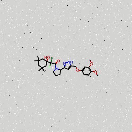 COc1ccc(OCc2cc(C3CCCN3C(=O)C(F)(F)C3(O)CC(C)(C)CC(C)(C)C3)n[nH]2)cc1OC